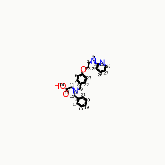 CN(CCOc1ccc(CN(CC(=O)O)Cc2ccccc2)cc1)c1ccccn1